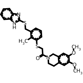 COc1cc2c(cc1OC)CN(C(=O)CSc1cccc(CSc3nc4ccccc4[nH]3)c1C)CC2